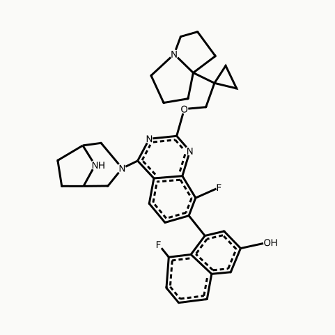 Oc1cc(-c2ccc3c(N4CC5CCC(C4)N5)nc(OCC4(C56CCCN5CCC6)CC4)nc3c2F)c2c(F)cccc2c1